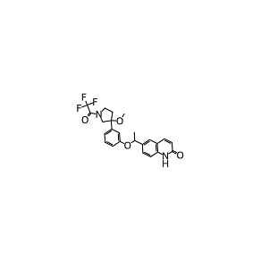 COC1(c2cccc(OC(C)c3ccc4[nH]c(=O)ccc4c3)c2)CCN(C(=O)C(F)(F)F)C1